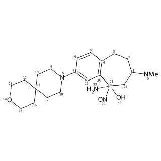 CNC1CCc2ccc(N3CCC4(CCOCC4)CC3)cc2P(N)(O)(N=O)C1